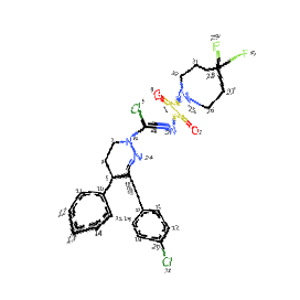 O=S(=O)(N=C(Cl)N1CCC(c2ccccc2)C(c2ccc(Cl)cc2)=N1)N1CCC(F)(F)CC1